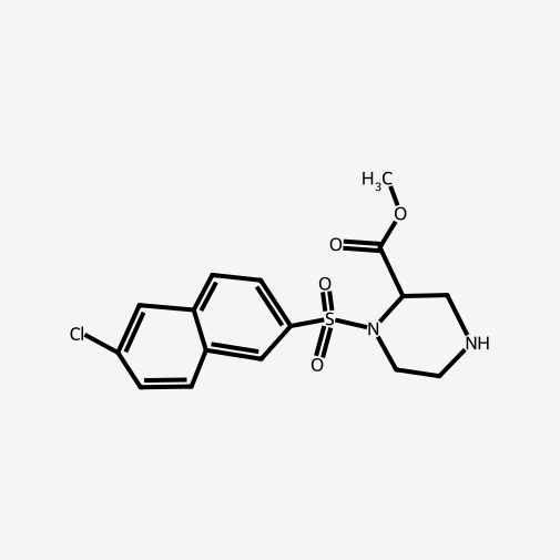 COC(=O)C1CNCCN1S(=O)(=O)c1ccc2cc(Cl)ccc2c1